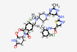 Cc1nc(Nc2ncc(C(=O)Nc3c(C)cccc3Cl)s2)cc(N2CCC(N(C)Cc3cc4c(cc3F)C(=O)N(C3CCC(=O)NC3=O)C4=O)CC2)n1